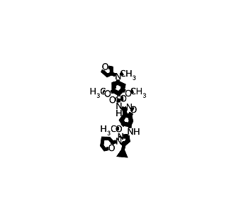 COc1cc2c(NS(=O)(=O)c3c(OC)cc(N(C)C4CCOC4)cc3OC)noc2cc1Nc1cc(C2CC2)n(C2CCCCO2)n1